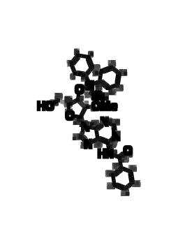 COC1C(O[Si](c2ccccc2)(c2ccccc2)C(C)(C)C)[C@@H](CO)O[C@H]1n1cnc2c(NC(=O)c3ccccc3)ncnc21